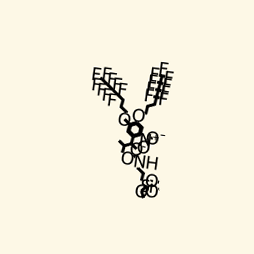 CO[Si](CCCNC(=O)OC(c1cc(OCCCC(F)(F)C(F)(F)C(F)(F)C(F)(F)F)c(OCCCC(F)(F)C(F)(F)C(F)(F)C(F)(F)F)cc1[N+](=O)[O-])C(C)C)(OC)OC